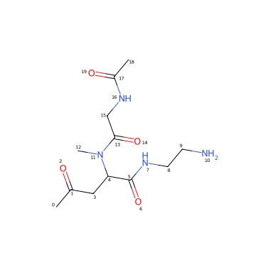 CC(=O)CC(C(=O)NCCN)N(C)C(=O)CNC(C)=O